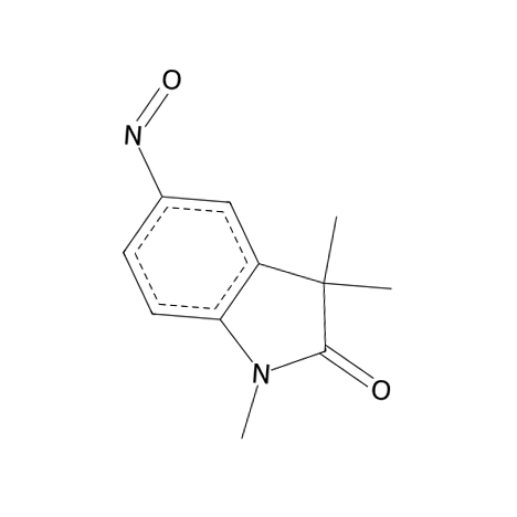 CN1C(=O)C(C)(C)c2cc(N=O)ccc21